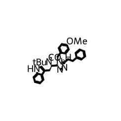 COc1ccc(Cn2c(CCc3ccccc3)nnc2[C@@H](Cc2c[nH]c3ccccc23)N(C(=O)O)C(C)(C)C)cc1